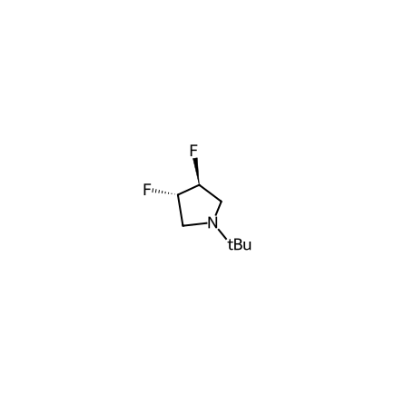 CC(C)(C)N1C[C@H](F)[C@@H](F)C1